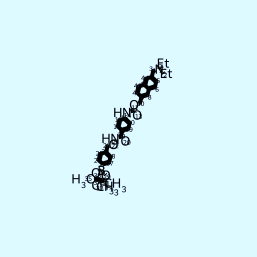 CCN(CC)Cc1ccc2cc(COC(=O)Nc3ccc(C(=O)NOCc4ccc(B5OC(C)(C)C(C)(C)O5)cc4)cc3)ccc2c1